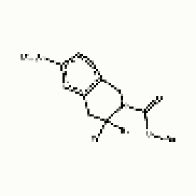 CCOC(=O)c1ccc2c(n1)CC(CC)(CC)N(C(=O)OC(C)(C)C)C2